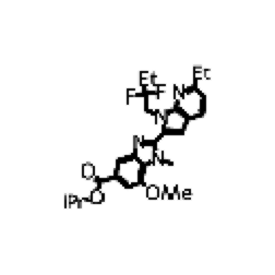 CCc1ccc2cc(-c3nc4cc(C(=O)OC(C)C)cc(OC)c4n3C)n(CC(F)(F)CC)c2n1